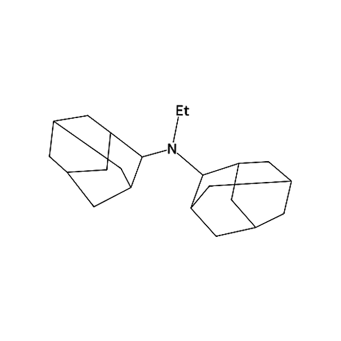 CCN(C1C2CC3CC(C2)CC1C3)C1C2CC3CC(C2)CC1C3